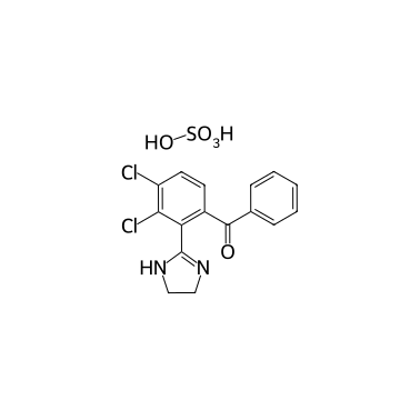 O=C(c1ccccc1)c1ccc(Cl)c(Cl)c1C1=NCCN1.O=S(=O)(O)O